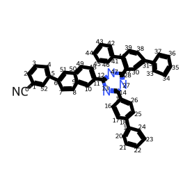 N#Cc1cccc(-c2ccc3cc(-c4nc(-c5ccc(-c6ccccc6)cc5)nc(-c5cc(-c6ccccc6)ccc5-c5ccccc5)n4)ccc3c2)c1